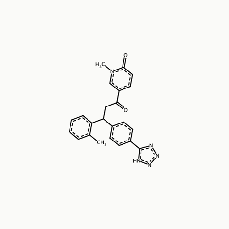 Cc1ccccc1C(CC(=O)c1ccc(=O)n(C)c1)c1ccc(-c2nnn[nH]2)cc1